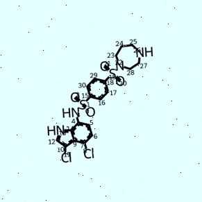 O=S(=O)(Nc1ccc(Cl)c2c(Cl)c[nH]c12)c1ccc(S(=O)(=O)N2CCCNCC2)cc1